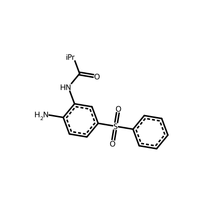 CC(C)C(=O)Nc1cc(S(=O)(=O)c2ccccc2)ccc1N